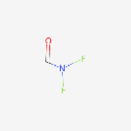 O=CN(F)F